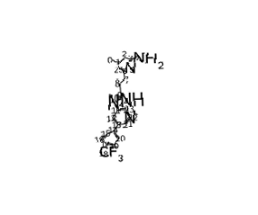 Cc1cc(N)nc(CCc2nc3cc(-c4ccc(C(F)(F)F)cc4)cnc3[nH]2)c1